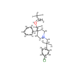 CC(C)(C)[SiH2]OC(C)(C)C1(c2ccccc2)CCN(CC(C)(C)c2ccc(Cl)cc2)CC1